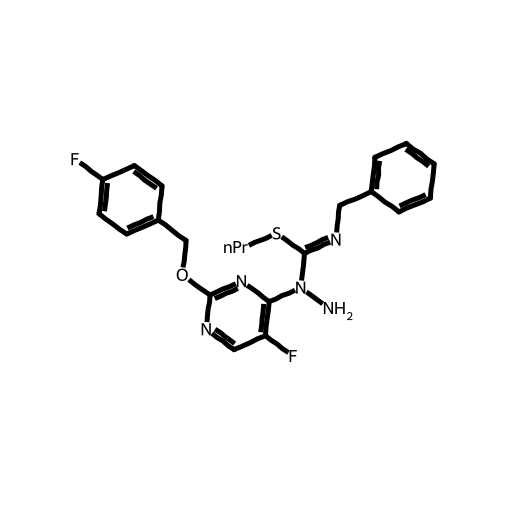 CCCS/C(=N\Cc1ccccc1)N(N)c1nc(OCc2ccc(F)cc2)ncc1F